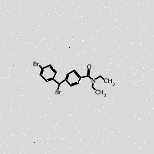 CCN(CC)C(=O)c1ccc(C(Br)c2ccc(Br)cc2)cc1